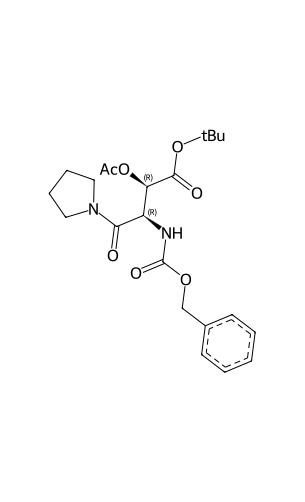 CC(=O)O[C@@H](C(=O)OC(C)(C)C)[C@@H](NC(=O)OCc1ccccc1)C(=O)N1CCCC1